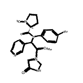 COC(C(c1cccnc1)N(C(=O)[C@H]1CCCN1C#N)c1ccc(C(C)(C)C)cc1)N1CNC(=O)C1